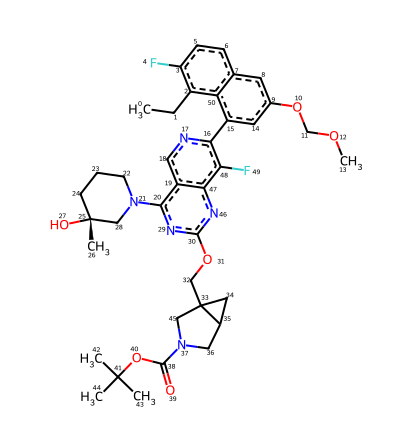 CCc1c(F)ccc2cc(OCOC)cc(-c3ncc4c(N5CCC[C@@](C)(O)C5)nc(OCC56CC5CN(C(=O)OC(C)(C)C)C6)nc4c3F)c12